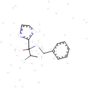 CC([N+](=O)[O-])C(O)(NCc1ccccc1)c1ncc[nH]1